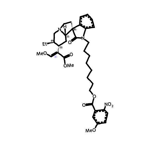 CC[C@H]1CN2CC[C@]3(C(=O)N(CCCCCCCCOC(=O)c4cc(OC)ccc4[N+](=O)[O-])c4ccccc43)[C@@H]2C[C@@H]1/C(=C\OC)C(=O)OC